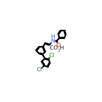 O=C(O)/C(=C\c1cccc(-c2cc(Cl)ccc2Cl)c1)NC(=O)c1ccccc1